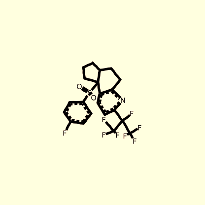 O=S(=O)(c1ccc(F)cc1)C12CC[CH]C1CCc1nc(C(F)(C(F)(F)F)C(F)(F)F)ccc12